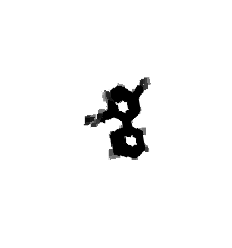 Nc1ncc(Cl)cc1-c1ccccc1